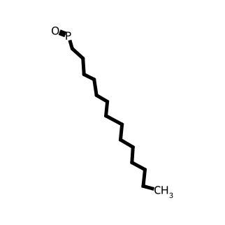 CCCCCCCCCCCCCCP=O